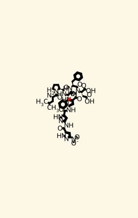 CC(C)C[C@H](N)C(=O)N1CCC[C@H]1C(=O)N[C@@H](Cc1ccccc1)C(=O)N[C@@H](Cc1ccccc1)C(=O)N(NC(=O)c1cc(NC(=O)c2cc(NC(=O)c3cc([N+](=O)[O-])n[nH]3)n[nH]2)n[nH]1)[C@@H](CC(=O)O)C(=O)O